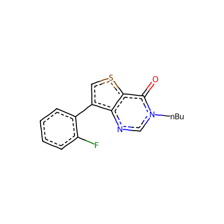 CCCCn1cnc2c(-c3ccccc3F)csc2c1=O